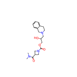 CN(C)C(=O)C1CN(C(=O)OCC(O)CN2CCc3ccccc3C2)C1